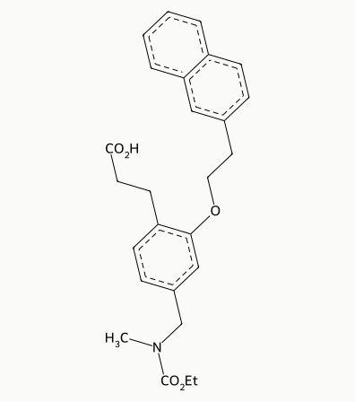 CCOC(=O)N(C)Cc1ccc(CCC(=O)O)c(OCCc2ccc3ccccc3c2)c1